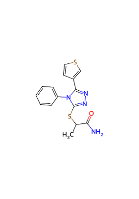 CC(Sc1nnc(-c2ccsc2)n1-c1ccccc1)C(N)=O